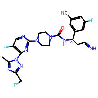 Cc1nc(CF)nn1-c1nc(N2CCN(C(=O)N[C@@H](CC=N)c3cc(F)cc(C#N)c3)CC2)ncc1F